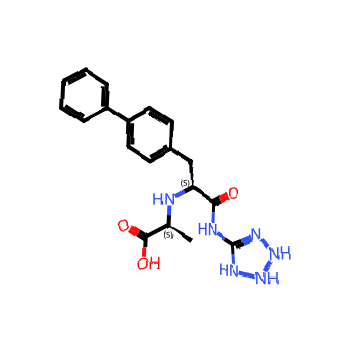 C[C@H](N[C@@H](Cc1ccc(-c2ccccc2)cc1)C(=O)NC1=NNNN1)C(=O)O